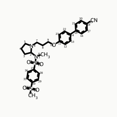 CN(C1CCCN1CCCOc1ccc(-c2ccc(C#N)cc2)cc1)S(=O)(=O)c1ccc(S(C)(=O)=O)cc1